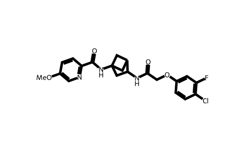 COc1ccc(C(=O)NC23CC(C2)C(NC(=O)COc2ccc(Cl)c(F)c2)C3)nc1